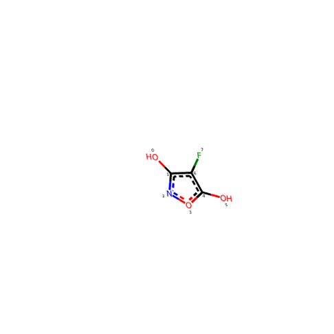 Oc1noc(O)c1F